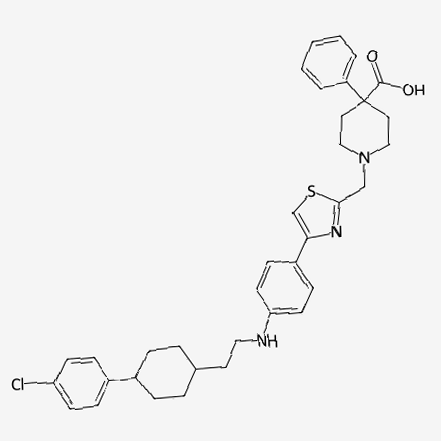 O=C(O)C1(c2ccccc2)CCN(Cc2nc(-c3ccc(NCCC4CCC(c5ccc(Cl)cc5)CC4)cc3)cs2)CC1